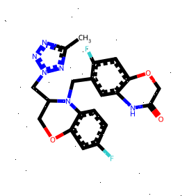 Cc1nnn(CC2COc3cc(F)ccc3N2Cc2cc3c(cc2F)OCC(=O)N3)n1